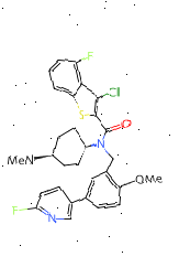 CN[C@H]1CC[C@@H](N(Cc2cc(-c3ccc(F)nc3)ccc2OC)C(=O)c2sc3cccc(F)c3c2Cl)CC1